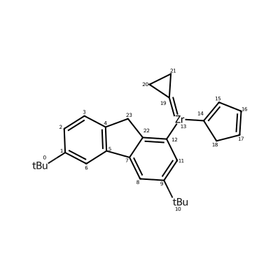 CC(C)(C)c1ccc2c(c1)-c1cc(C(C)(C)C)c[c]([Zr]([C]3=CC=CC3)=[C]3CC3)c1C2